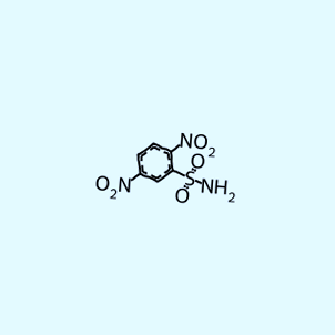 NS(=O)(=O)c1cc([N+](=O)[O-])ccc1[N+](=O)[O-]